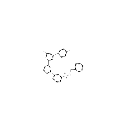 Cc1cc(-c2ccc(C(F)(F)F)cc2)cc(-c2cccc(-c3cccc(S(=O)(=O)NCc4ccccc4)c3)n2)n1